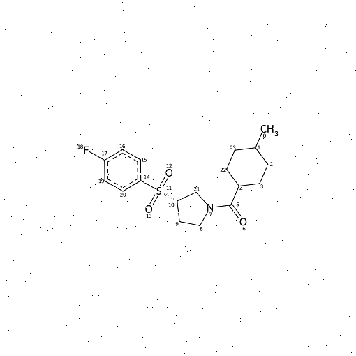 CC1CCC(C(=O)N2CC[C@H](S(=O)(=O)c3ccc(F)cc3)C2)CC1